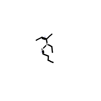 C/C=C(/C)N(CC)/N=C\CCC